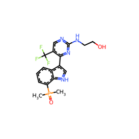 CP(C)(=O)c1cccc2c(-c3nc(NCCO)ncc3C(F)(F)F)c[nH]c12